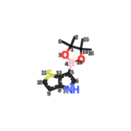 CC1(C)OB(c2c[nH]c3ccsc23)OC1(C)C